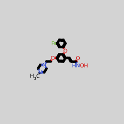 CN1CCN(CCOc2ccc(C=CC(=O)NO)c(Oc3cccc(F)c3)c2)CC1